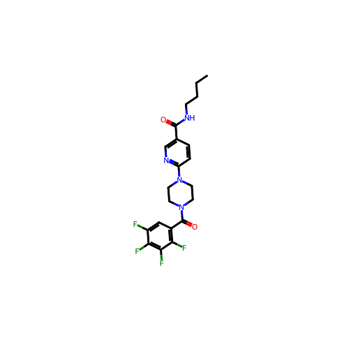 CCCCNC(=O)c1ccc(N2CCN(C(=O)c3cc(F)c(F)c(F)c3F)CC2)nc1